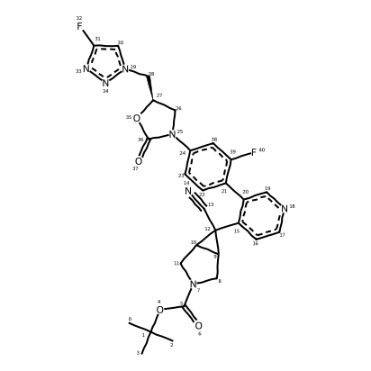 CC(C)(C)OC(=O)N1CC2C(C1)C2(C#N)c1ccncc1-c1ccc(N2C[C@H](Cn3cc(F)nn3)OC2=O)cc1F